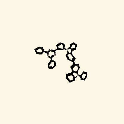 C1=CC2C(C=C1C1=CC3c4ccccc4N(c4cccc(-c5nc(-c6ccccc6)nc(-c6ccccc6)n5)c4)C3C=C1)c1ccccc1N2c1ccccc1